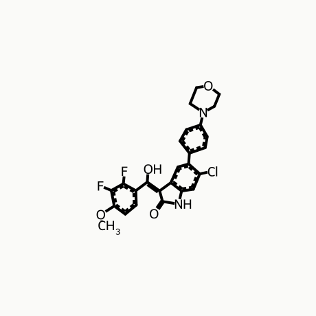 COc1ccc(C(O)=C2C(=O)Nc3cc(Cl)c(-c4ccc(N5CCOCC5)cc4)cc32)c(F)c1F